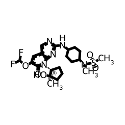 CN(C1CCC(Nc2ncc3cc(OC(F)F)c(=O)n([C@@H]4CCC[C@@]4(C)O)c3n2)CC1)S(C)(=O)=O